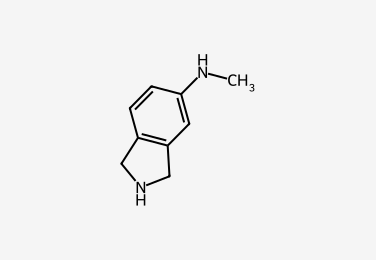 CNc1ccc2c(c1)CNC2